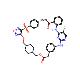 CNC(=O)c1ccccc1Nc1nc(Nc2cccc(CC(=O)OCC3CCC(COc4nonc4S(=O)(=O)c4ccccc4)CC3)c2)ncc1Cl